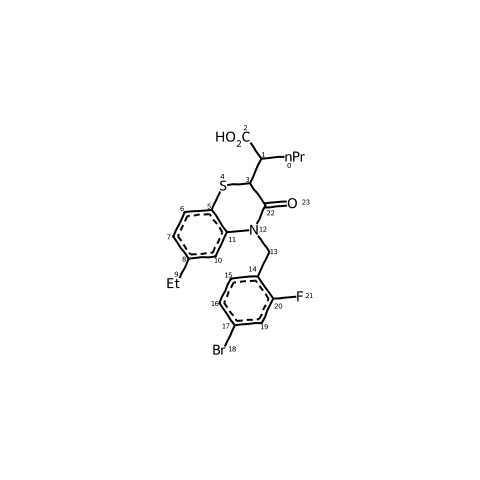 CCCC(C(=O)O)C1Sc2ccc(CC)cc2N(Cc2ccc(Br)cc2F)C1=O